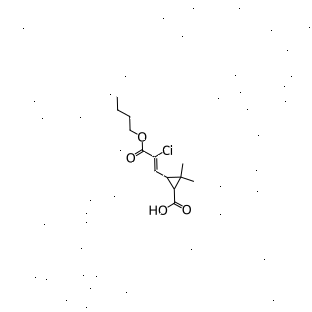 CCCCOC(=O)C(Cl)=CC1C(C(=O)O)C1(C)C